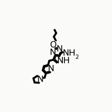 CCCCOc1nc(N)c2[nH]cc(Cc3ccc(CN4CCCC4)cn3)c2n1